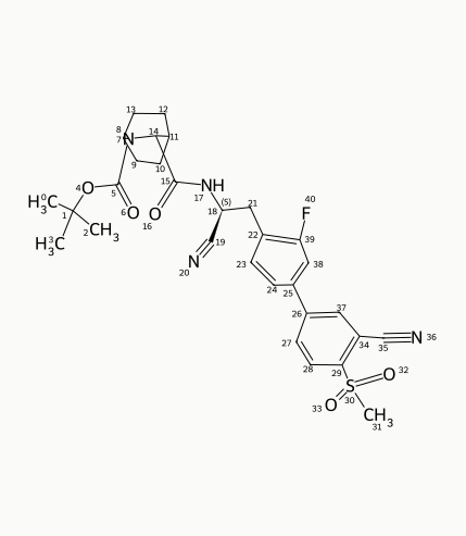 CC(C)(C)OC(=O)N1C2CCC(CC2)C1C(=O)N[C@H](C#N)Cc1ccc(-c2ccc(S(C)(=O)=O)c(C#N)c2)cc1F